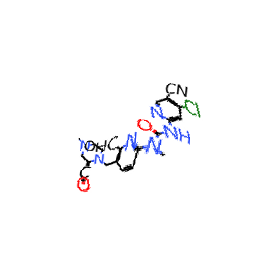 CN1CCN(Cc2ccc(N(C)C(=O)Nc3cc(Cl)c(C#N)cn3)nc2C=O)C(=C=O)C1